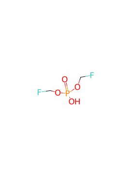 O=P(O)(OCF)OCF